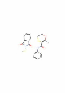 CC1=C(C(=O)Nc2ccccc2)SCCO1.O=C1C2CC=CCC2C(=O)N1SC(Cl)(Cl)Cl